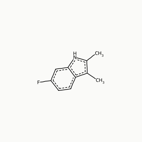 Cc1[nH]c2cc(F)ccc2c1C